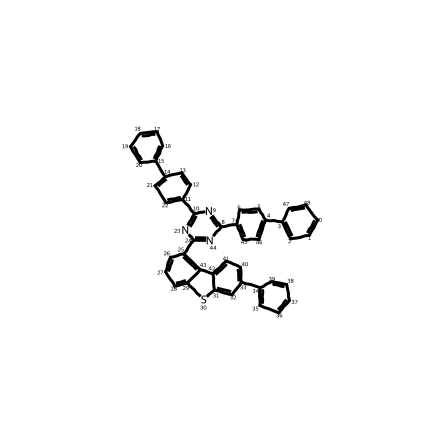 c1ccc(-c2ccc(-c3nc(-c4ccc(-c5ccccc5)cc4)nc(-c4cccc5sc6cc(-c7ccccc7)ccc6c45)n3)cc2)cc1